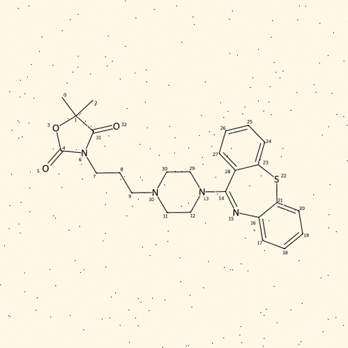 CC1(C)OC(=O)N(CCCN2CCN(C3=Nc4ccccc4Sc4ccccc43)CC2)C1=O